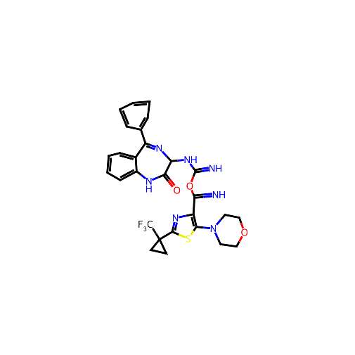 N=C(NC1N=C(c2ccccc2)c2ccccc2NC1=O)OC(=N)c1nc(C2(C(F)(F)F)CC2)sc1N1CCOCC1